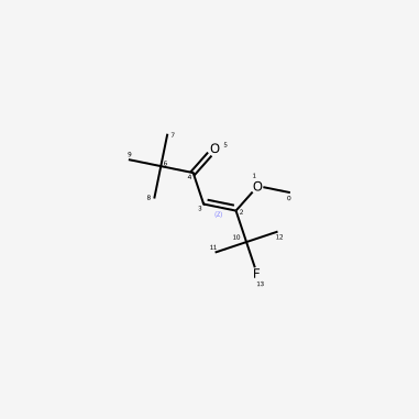 CO/C(=C\C(=O)C(C)(C)C)C(C)(C)F